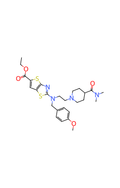 CCOC(=O)c1cc2sc(N(CCN3CCC(C(=O)N(C)C)CC3)Cc3ccc(OC)cc3)nc2s1